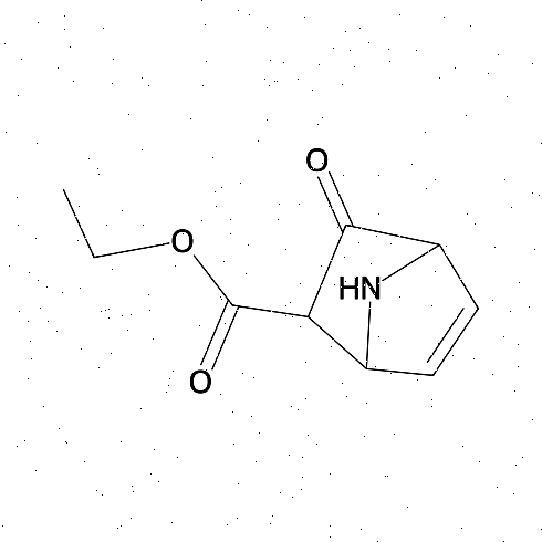 CCOC(=O)C1C(=O)C2C=CC1N2